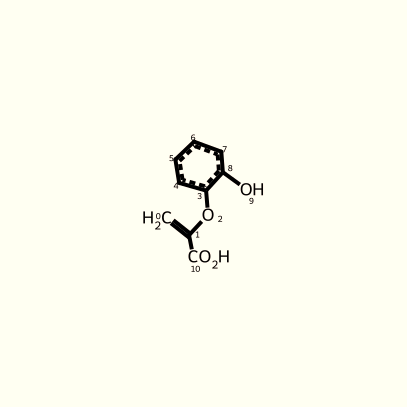 C=C(Oc1ccccc1O)C(=O)O